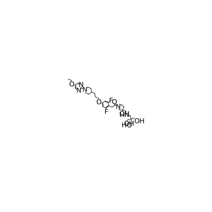 CCOc1cnc(N2CCC(CCCOc3cc(F)c(CC(=O)N4CCC(O)(CNCC(CO)(CO)CO)C4)c(F)c3)CC2)nc1